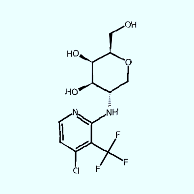 OC[C@H]1OC[C@H](Nc2nccc(Cl)c2C(F)(F)F)[C@@H](O)[C@H]1O